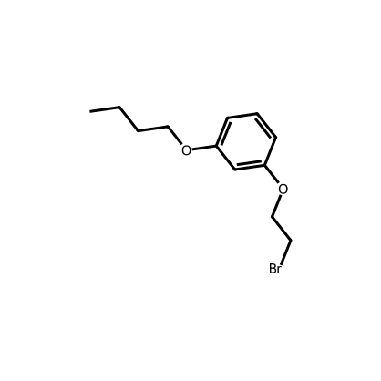 CCCCOc1cccc(OCCBr)c1